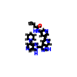 CC(C)(C)CC(=O)Nc1cncc(-c2cc3c(-c4nc5c(N6CCCCC6)cncc5[nH]4)n[nH]c3cn2)c1